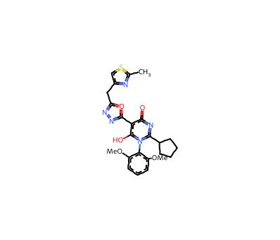 COc1cccc(OC)c1-n1c(C2CCCC2)nc(=O)c(-c2nnc(Cc3csc(C)n3)o2)c1O